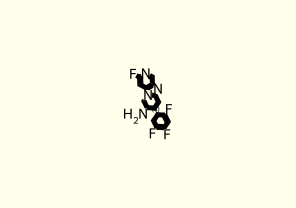 NC1Cn2c(nc3cnc(F)cc32)C[C@@H]1C1CC(F)=C(F)C=C1F